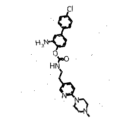 CN1CCN(c2ccc(CCNC(=O)Oc3ccc(-c4ccc(Cl)cc4)cc3N)cn2)CC1